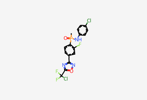 CP(=O)(Nc1ccc(Cl)cc1)c1ccc(-c2noc(C(F)(F)Cl)n2)cc1F